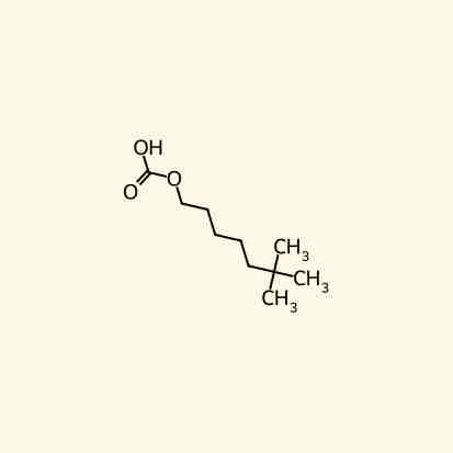 CC(C)(C)CCCCCOC(=O)O